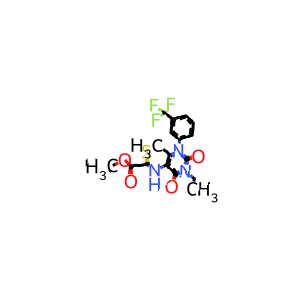 CCn1c(=O)c(NC(=S)C(=O)OC)c(C)n(-c2cccc(C(F)(F)F)c2)c1=O